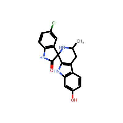 CC1Cc2c([nH]c3cc(O)ccc23)C2(N1)C(=O)Nc1ccc(Cl)cc12